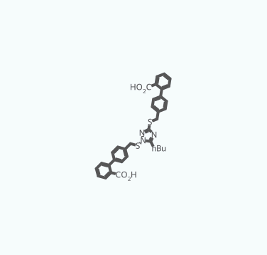 CCCCc1nc(SCc2ccc(-c3ccccc3C(=O)O)cc2)nn1SCc1ccc(-c2ccccc2C(=O)O)cc1